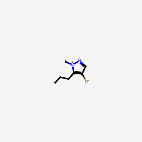 CC[CH]c1c(Br)cnn1C